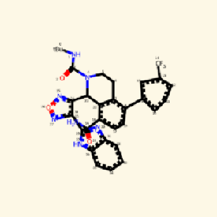 CC(C)(C)NC(=O)N1CCc2c(-c3cccc(C(F)(F)F)c3)ccc(C(N)=O)c2C1c1nonc1-c1nc2ccccc2[nH]1